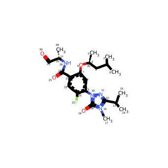 CC(C)C[C@H](C)Oc1cc(-n2nc(C(C)C)n(C)c2=O)c(F)cc1C(=O)N[C@@H](C)C=O